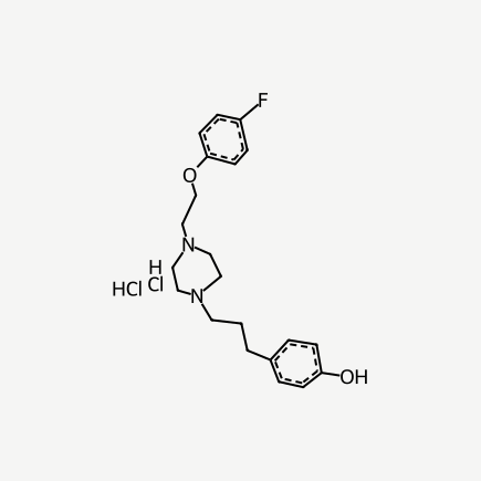 Cl.Cl.Oc1ccc(CCCN2CCN(CCOc3ccc(F)cc3)CC2)cc1